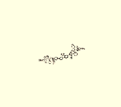 COC(=O)N[C@H](C(=O)N1CCC[C@H]1c1nc2ccc(-c3ccc4c(c3)C(F)(F)c3cc(-c5cnc(C6CCCCN6C(=O)[C@@H](NC(=O)OC)C6CCOCC6)[nH]5)ccc3-4)cc2[nH]1)C(C)C